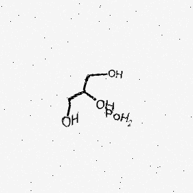 OCC(O)CO.[PoH2]